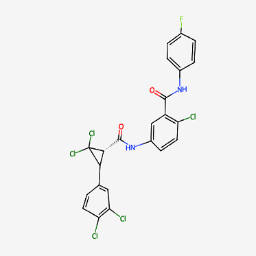 O=C(Nc1ccc(F)cc1)c1cc(NC(=O)[C@@H]2C(c3ccc(Cl)c(Cl)c3)C2(Cl)Cl)ccc1Cl